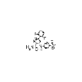 CS(=O)(=O)c1ccc(Nc2cc(-c3c(F)cccc3F)nnc2C(N)=O)cn1